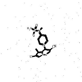 Cc1c(Cl)cn2ncc(C#N)c(N3CCC(N(C)S(N)(=O)=O)CC3)c12